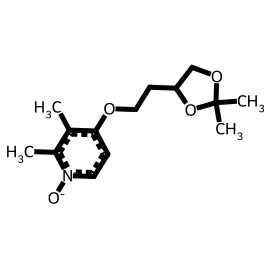 Cc1c(OCCC2COC(C)(C)O2)cc[n+]([O-])c1C